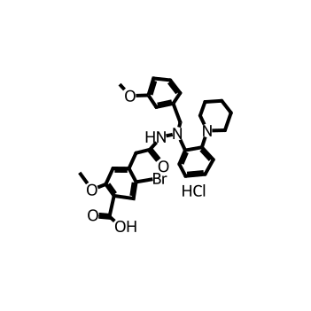 COc1cccc(CN(NC(=O)Cc2cc(OC)c(C(=O)O)cc2Br)c2ccccc2N2CCCCC2)c1.Cl